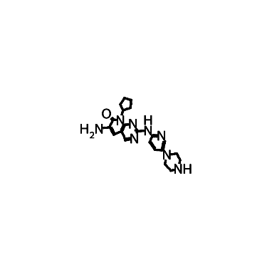 Nc1cc2cnc(Nc3ccc(N4CCNCC4)cn3)nc2n(C2CCCC2)c1=O